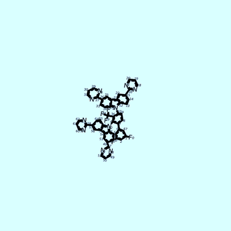 Fc1cc(F)cc(-c2ccc(-n3c4ccc(-c5ncccn5)cc4c4cc(-c5ncccn5)ccc43)c(C(F)(F)F)c2-n2c3ccc(-c4ncccn4)cc3c3cc(-c4ncccn4)ccc32)c1